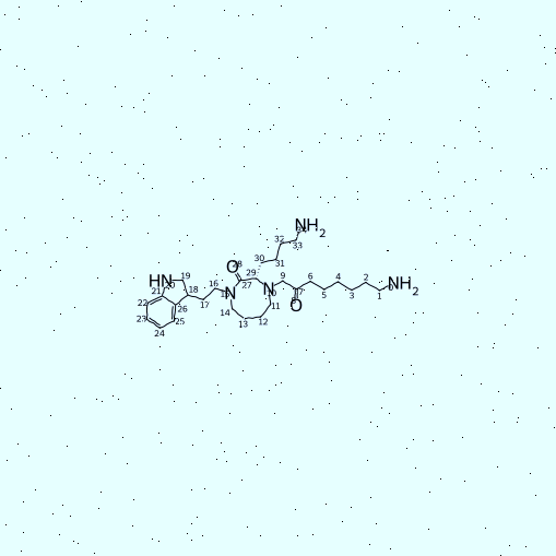 NCCCCCCC(=O)CN1CCCCN(CCC2CNc3ccccc32)C(=O)[C@@H]1CCCCN